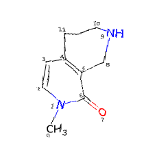 Cn1ccc2c(c1=O)CNCC2